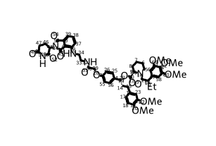 CC[C@H](C(=O)N1CCCC[C@@H]1C(=O)O[C@H](CCc1ccc(OC)c(OC)c1)c1ccc(OCC(=O)NCCNc2cccc3c2C(=O)N(C2CCC(=O)NC2=O)C3=O)cc1)c1cc(OC)c(OC)c(OC)c1